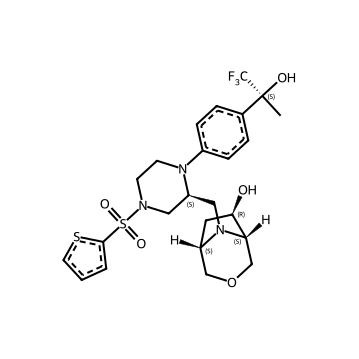 C[C@](O)(c1ccc(N2CCN(S(=O)(=O)c3cccs3)C[C@@H]2CN2[C@@H]3COC[C@H]2[C@H](O)C3)cc1)C(F)(F)F